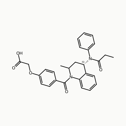 CCC(=O)N(c1ccccc1)[C@H]1CC(C)N(C(=O)c2ccc(OCC(=O)O)cc2)c2ccccc21